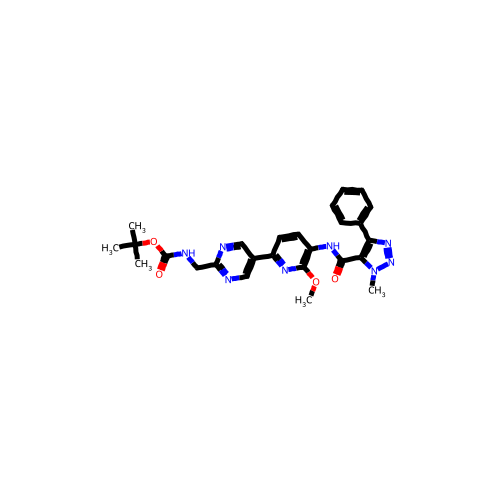 COc1nc(-c2cnc(CNC(=O)OC(C)(C)C)nc2)ccc1NC(=O)c1c(-c2ccccc2)nnn1C